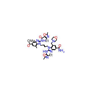 CCc1nc(C)oc1Nc1nc2cc(C(N)=O)cc(CN3CCOCC3)c2n1C/C=C/Cn1c(NC(=O)c2oc(C)nc2CC)nc2cc(C(=O)OC)cc(C)c21